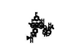 CC(C)CN(C[C@@H](O)[C@H](Cc1cc(F)cc(F)c1)NC(=O)O[C@@H]1CO[C@@H]2OCC[C@@H](NC(C)C)[C@@H]21)S(=O)(=O)c1ccc2nc(NC3CC3)sc2c1